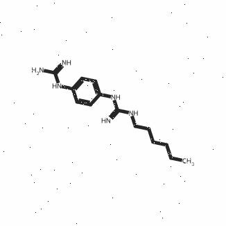 CCCCCCNC(=N)Nc1ccc(NC(=N)N)cc1